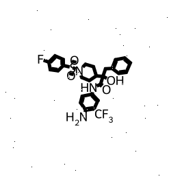 Nc1ccc(NC(=O)C(O)(Cc2ccccc2)C2CCN(S(=O)(=O)c3ccc(F)cc3)CC2)cc1C(F)(F)F